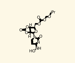 CC(C)OCOC(=O)OC[C@H]1O[C@@H](n2ccc(NO)nc2=O)[C@@H]2OC(=O)O[C@@H]21